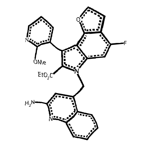 CCOC(=O)c1c(-c2cccnc2OC)c2c3occc3c(F)cc2n1Cc1cc(N)nc2ccccc12